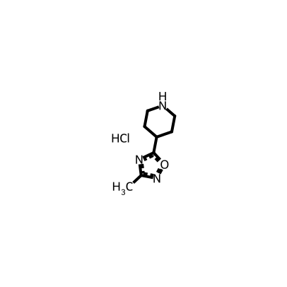 Cc1noc(C2CCNCC2)n1.Cl